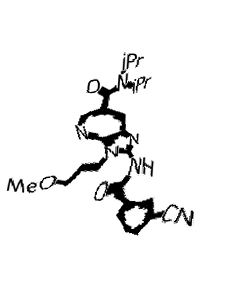 COCCCn1c(NC(=O)c2cccc(C#N)c2)nc2cc(C(=O)N(C(C)C)C(C)C)cnc21